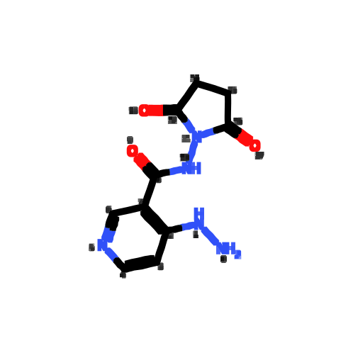 NNc1ccncc1C(=O)NN1C(=O)CCC1=O